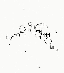 CCOc1cccc(N2Cc3cnc(NC4CCC(N)CC4)nc3N(CC)C2=O)c1F